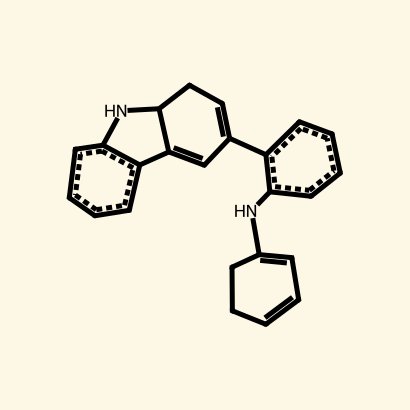 C1=CCCC(Nc2ccccc2C2=CCC3Nc4ccccc4C3=C2)=C1